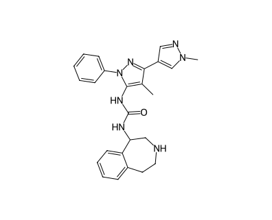 Cc1c(-c2cnn(C)c2)nn(-c2ccccc2)c1NC(=O)NC1CNCCc2ccccc21